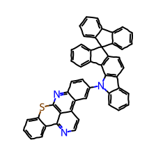 c1ccc2c(c1)Sc1nc3ccc(-n4c5ccccc5c5ccc6c(c54)-c4ccccc4C64c5ccccc5-c5ccccc54)cc3c3ccnc-2c13